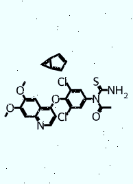 COc1cc2nccc(Oc3c(Cl)cc(N(C(C)=O)C(N)=S)cc3Cl)c2cc1OC.c1cc2cc-2c1